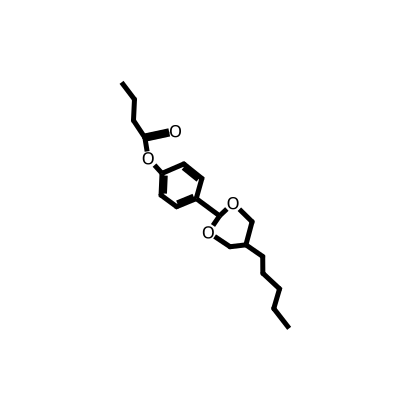 CCCCCC1COC(c2ccc(OC(=O)CCC)cc2)OC1